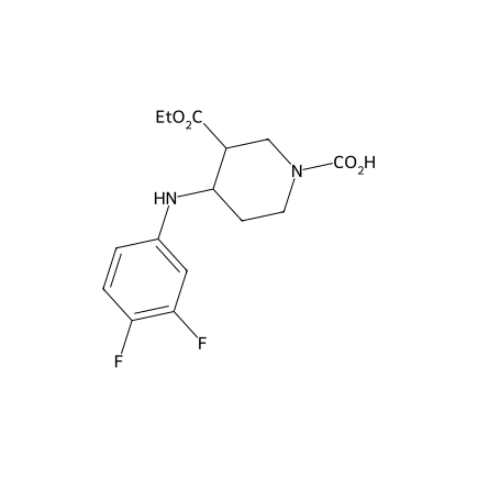 CCOC(=O)C1CN(C(=O)O)CCC1Nc1ccc(F)c(F)c1